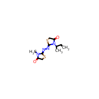 C=CC(C)N1C(=O)CSC1=NN=C1SCC(=O)N1C